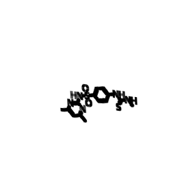 CNC(=S)Nc1ccc(S(=O)(=O)Nc2nc(C)cc(C)n2)cc1